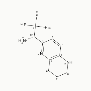 N[C@@H](c1ccc2c(n1)CCCN2)C(F)(F)F